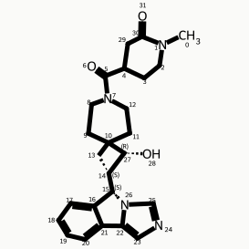 CN1CCC(C(=O)N2CCC3(CC2)C[C@@H]([C@H]2c4ccccc4-c4cncn42)[C@H]3O)CC1=O